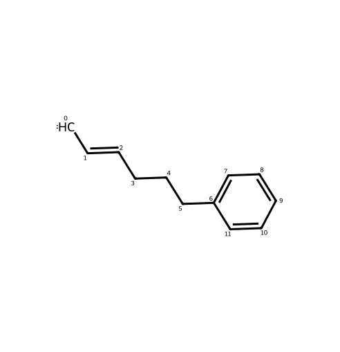 [CH]C=CCCCc1ccccc1